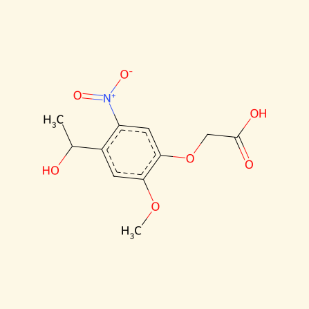 COc1cc(C(C)O)c([N+](=O)[O-])cc1OCC(=O)O